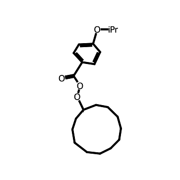 CC(C)Oc1ccc(C(=O)OO[C]2CCCCCCCCCCC2)cc1